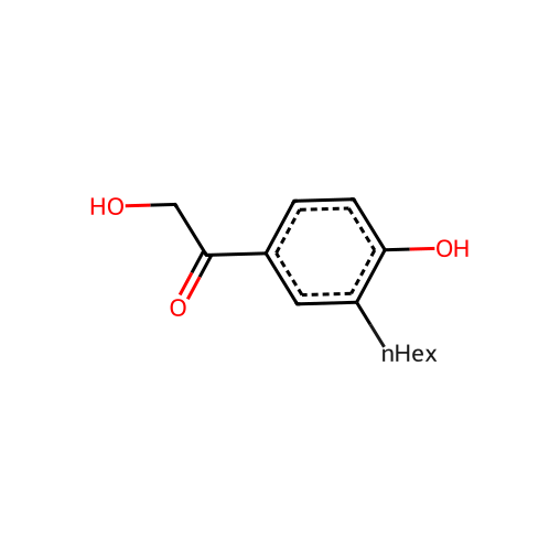 CCCCCCc1cc(C(=O)CO)ccc1O